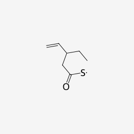 C=CC(CC)CC(=O)[S]